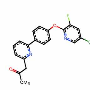 COC(=O)Cc1cccc(-c2ccc(Oc3ncc(Cl)cc3F)cc2)n1